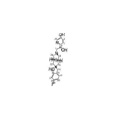 Oc1ccc([C@H](O)CN2C[C@@H]3C[C@@](O)(Cc4ccc(F)cc4)C[C@@H]3C2)nc1